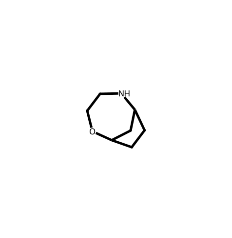 C1COC2CCC(C2)N1